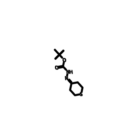 CC(C)(C)OC(=O)NN=C1CCSCC1